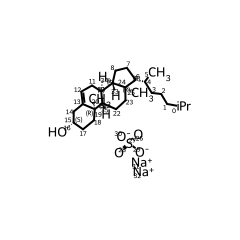 CC(C)CCCC(C)[C@H]1CC[C@H]2[C@@H]3CC=C4C[C@@H](O)CC[C@]4(C)[C@H]3CC[C@]12C.O=S(=O)([O-])[O-].[Na+].[Na+]